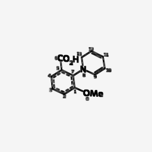 COc1cccc(C(=O)O)c1N1C=CC=CC1